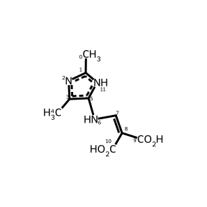 Cc1nc(C)c(NC=C(C(=O)O)C(=O)O)[nH]1